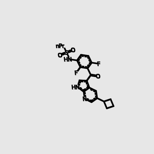 CCCS(=O)(=O)Nc1ccc(F)c(C(=O)c2c[nH]c3ncc(C4CCC4)cc23)c1F